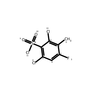 Cc1c(F)cc(Cl)c(S(=O)(=O)Cl)c1Cl